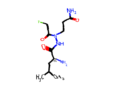 CC(C)C[C@H](N)C(=O)NN(CCC(N)=O)C(=O)CF